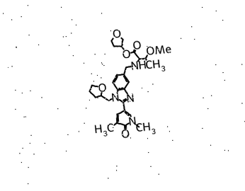 COC(C)C(NCc1ccc2c(c1)nc(-c1cc(C)c(=O)n(C)c1)n2CC1CCCO1)C(=O)OC1CCOC1